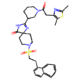 Cc1nc(CC(=O)N2CCCC(C3=NC4(CCN(S(=O)(=O)CCc5cccc6ccccc56)CC4)C(=O)N3)C2)c(C)s1